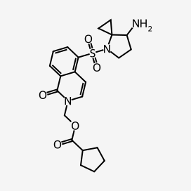 NC1CCN(S(=O)(=O)c2cccc3c(=O)n(COC(=O)C4CCCC4)ccc23)C12CC2